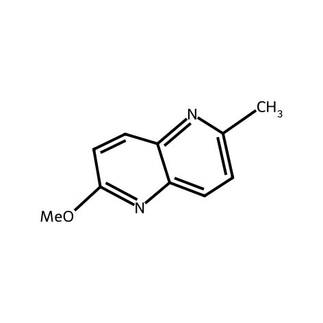 COc1ccc2nc(C)ccc2n1